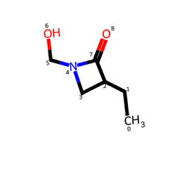 CCC1CN(CO)C1=O